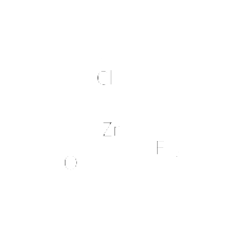 [O]=[Zr]([F])[Cl]